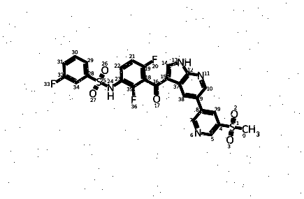 CS(=O)(=O)c1cncc(-c2cnc3[nH]cc(C(=O)c4c(F)ccc(NS(=O)(=O)c5cccc(F)c5)c4F)c3c2)c1